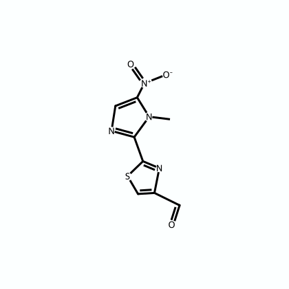 Cn1c([N+](=O)[O-])cnc1-c1nc(C=O)cs1